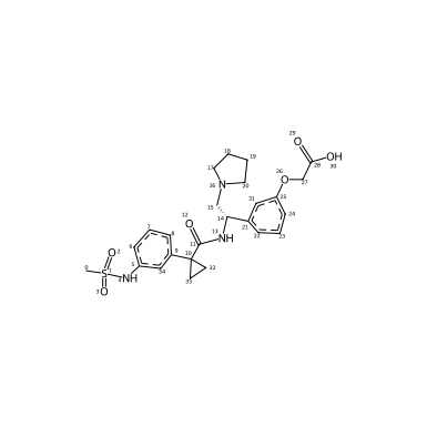 CS(=O)(=O)Nc1cccc(C2(C(=O)N[C@H](CN3CCCC3)c3cccc(OCC(=O)O)c3)CC2)c1